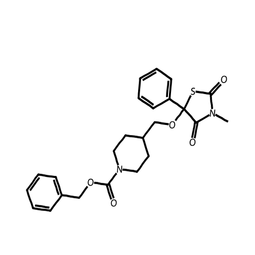 CN1C(=O)SC(OCC2CCN(C(=O)OCc3ccccc3)CC2)(c2ccccc2)C1=O